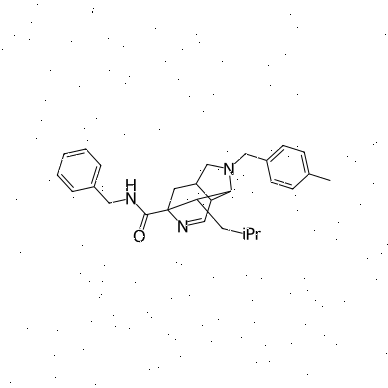 Cc1ccc(CN2CC3CC4(C(=O)NCc5ccccc5)N=CC3C2C4CC(C)C)cc1